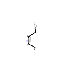 C/C=C\CCC